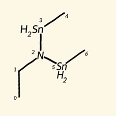 CC[N]([SnH2][CH3])[SnH2][CH3]